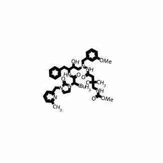 CCC(C)C(C(=O)NC(Cc1ccccc1)C(O)CN(Cc1cccc(OC)c1)NC(=O)CC(C)(C)CNC(=O)OC)N1CCN(Cc2cccc(C)n2)C1=O